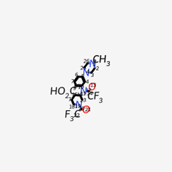 CN1CCN(c2ccc(C(=O)O)c(N(C(=O)C(F)(F)F)C3CCCN(C(=O)C(F)(F)F)C3)c2)CC1